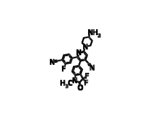 CN1C(=O)C(F)(F)c2cc(-c3c(C#N)cc(N4CCC(N)CC4)nc3-c3ccc(C#N)c(F)c3)ccc21